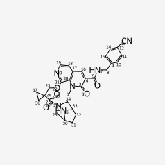 Cn1c(=O)c(C(=O)NCc2ccc(C#N)cc2)cc2ccnc(OCC3(S(=O)(=O)N4CC5CCC(C4)N5)CC3)c21